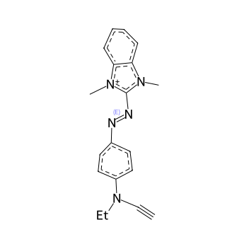 C#CN(CC)c1ccc(/N=N/c2n(C)c3ccccc3[n+]2C)cc1